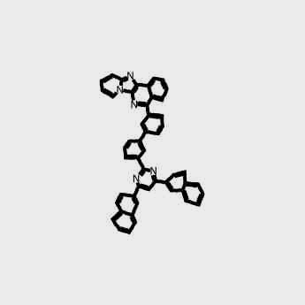 c1cc(-c2cccc(-c3nc4c(nc5ccccn54)c4ccccc34)c2)cc(-c2nc(-c3ccc4ccccc4c3)cc(-c3ccc4ccccc4c3)n2)c1